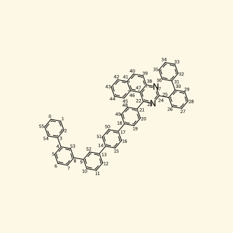 c1ccc(-c2cccc(-c3cccc(-c4ccc(-c5ccc(-c6nc(-c7ccccc7-c7ccccc7)nc7ccc8ccccc8c67)cc5)cc4)c3)c2)cc1